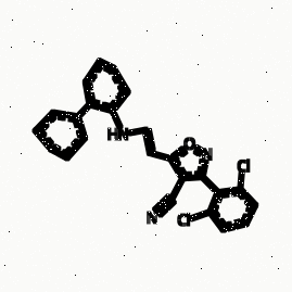 N#Cc1c(-c2c(Cl)cccc2Cl)noc1C=CNc1ccccc1-c1ccccc1